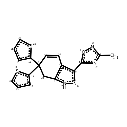 Cc1noc(-c2n[nH]c3c2C=CC(c2cccs2)(c2cccs2)C3)n1